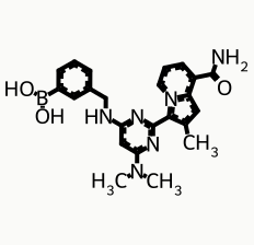 Cc1cc2c(C(N)=O)cccn2c1-c1nc(NCc2cccc(B(O)O)c2)cc(N(C)C)n1